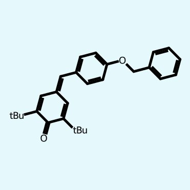 CC(C)(C)C1=CC(=Cc2ccc(OCc3ccccc3)cc2)C=C(C(C)(C)C)C1=O